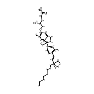 CCCCCCCCC(O)(/C=C/c1ccc(C(CC)(CC)c2ccc(OCC(O)CCC(=O)O)c(C)c2)cc1C)CC